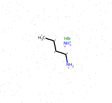 Br.CCCCN.N